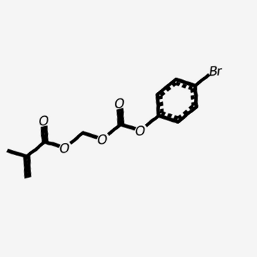 C=C(C)C(=O)OCOC(=O)Oc1ccc(Br)cc1